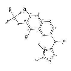 Cc1ncc(C(O)c2ccc3nc(Cl)c(CC(F)(F)F)c(Cl)c3c2)n1C